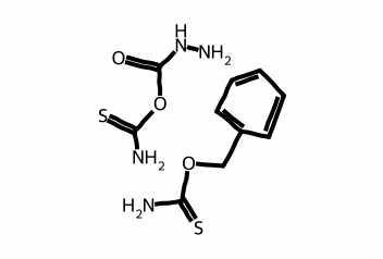 NC(=S)OCc1ccccc1.NNC(=O)OC(N)=S